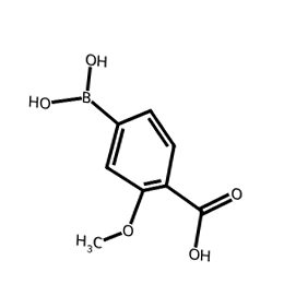 COc1cc(B(O)O)ccc1C(=O)O